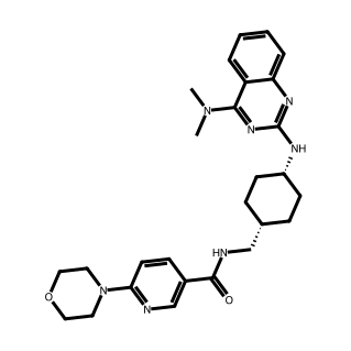 CN(C)c1nc(N[C@H]2CC[C@@H](CNC(=O)c3ccc(N4CCOCC4)nc3)CC2)nc2ccccc12